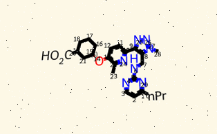 CCCc1ccnc(NCc2c(-c3ccc(O[C@H]4CCCC(C(=O)O)C4)c(C)n3)nnn2C)n1